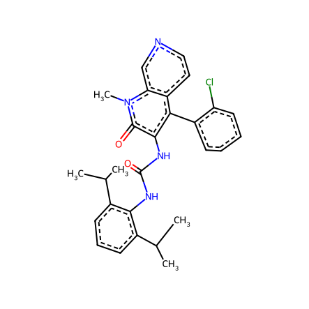 CC(C)c1cccc(C(C)C)c1NC(=O)Nc1c(-c2ccccc2Cl)c2ccncc2n(C)c1=O